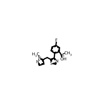 C[C@@H](O)c1cc(F)ccc1-c1ncsc1Cc1ccnn1C